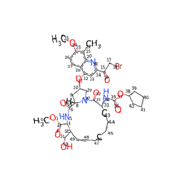 COC(=O)C1NC(=O)[C@@H]2C[C@@H](Oc3cc(C(=O)CBr)nc4c(C)c(OC)ccc34)CN2C(=O)[C@@H](NC(=O)OC2CCCC2)CCCCC/C=C\C1CO